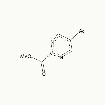 COC(=O)c1ncc(C(C)=O)cn1